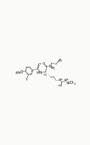 COc1ccc(C(=O)N[C@@H](CCCNC(=N)N[N+](=O)[O-])C(=O)N[CH]CC(C)C)cc1F